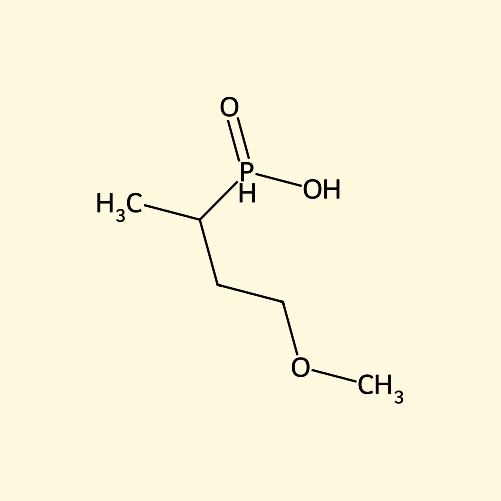 COCCC(C)[PH](=O)O